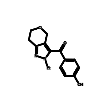 CCn1nc2c(c1C(=O)c1ccc(O)cc1)COCC2